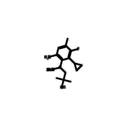 CNN(CC(C)(C)O)c1c(N)cc(C)c(F)c1C1CC1